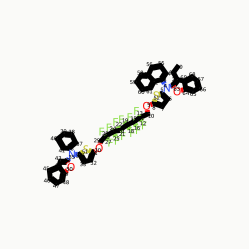 CCc1c(N(c2ccc(OCC(F)(F)C(F)(F)C(F)(F)C(F)(F)C(F)(F)C(F)(F)COc3ccc(N(c4ccccc4)c4cc5ccccc5o4)s3)s2)c2cccc3ccccc23)oc2ccccc12